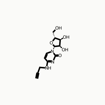 C#CCNc1ccn([C@@H]2O[C@H](CO)[C@@H](O)[C@H]2O)c(=O)n1